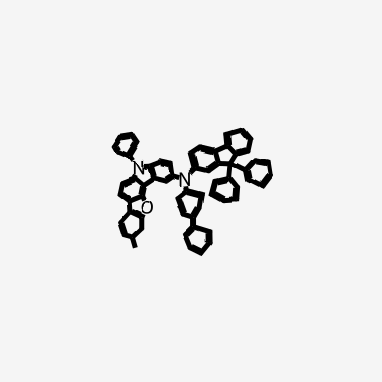 CC1C=Cc2c(oc3c2ccc2c3c3cc(N(c4ccc(-c5ccccc5)cc4)c4ccc5c(c4)C(c4ccccc4)(c4ccccc4)c4ccccc4-5)ccc3n2-c2ccccc2)C1